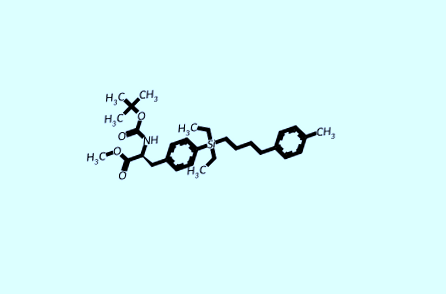 CC[Si](CC)(CCCCc1ccc(C)cc1)c1ccc(C[C@H](NC(=O)OC(C)(C)C)C(=O)OC)cc1